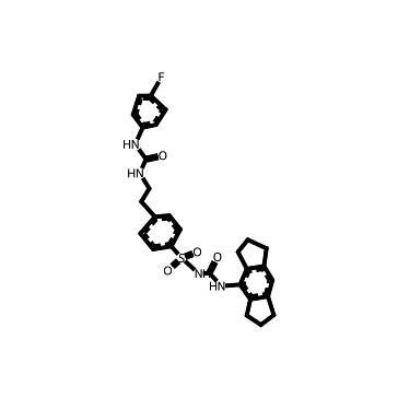 O=C(NCCc1ccc(S(=O)(=O)NC(=O)Nc2c3c(cc4c2CCC4)CCC3)cc1)Nc1ccc(F)cc1